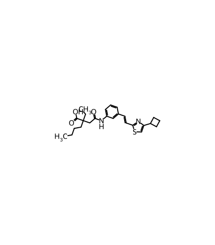 CCCCC(CC)(CC(=O)Nc1cccc(C=Cc2nc(C3CCC3)cs2)c1)C(=O)O